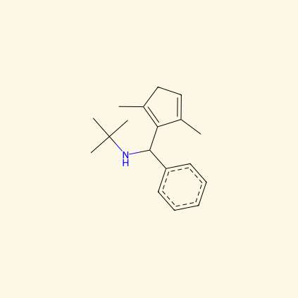 CC1=CCC(C)=C1C(NC(C)(C)C)c1ccccc1